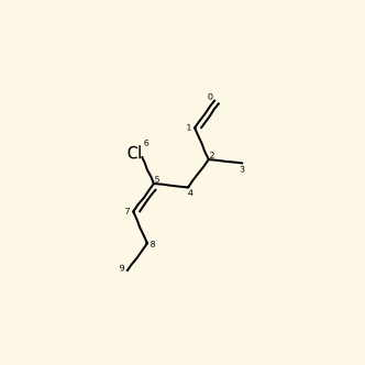 C=CC(C)C/C(Cl)=C\CC